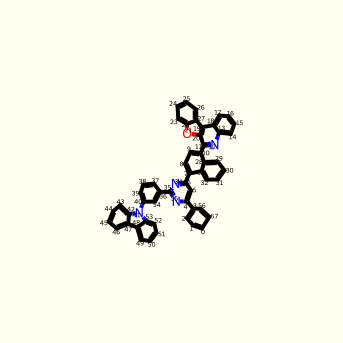 c1ccc(-c2cc(-c3ccc(-c4nc5ccccc5c5c4oc4ccccc45)c4ccccc34)nc(-c3cccc(-n4c5ccccc5c5ccccc54)c3)n2)cc1